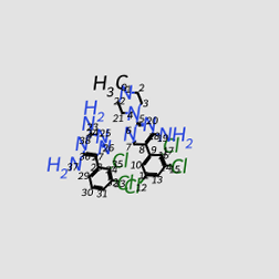 CN1CCN(c2ncc(-c3cc(Cl)cc(Cl)c3Cl)c(N)n2)CC1.Nc1nnc(-c2cccc(Cl)c2Cl)c(N)n1